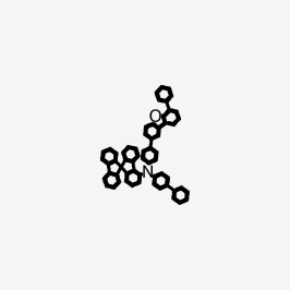 c1ccc(-c2ccc(N(c3ccc(-c4ccc5oc6c(-c7ccccc7)cccc6c5c4)cc3)c3cccc4c3-c3ccccc3C43c4ccccc4-c4ccccc43)cc2)cc1